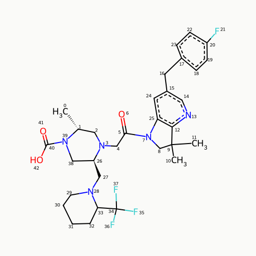 C[C@@H]1CN(CC(=O)N2CC(C)(C)c3ncc(Cc4ccc(F)cc4)cc32)[C@@H](CN2CCCCC2C(F)(F)F)CN1C(=O)O